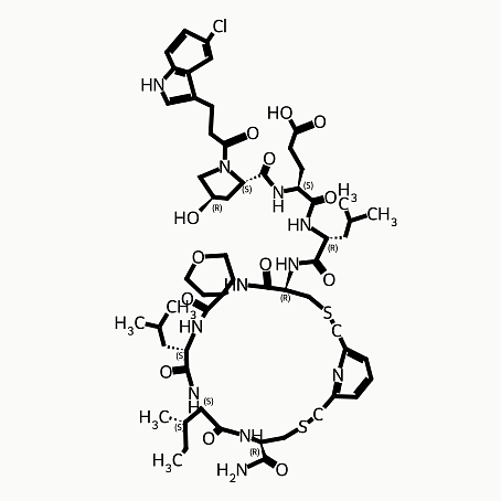 CC[C@H](C)[C@@H]1NC(=O)[C@H](CC(C)C)NC(=O)C2(CCOCC2)NC(=O)[C@@H](NC(=O)[C@@H](CC(C)C)NC(=O)[C@H](CCC(=O)O)NC(=O)[C@@H]2C[C@@H](O)CN2C(=O)CCc2c[nH]c3ccc(Cl)cc23)CSCc2cccc(n2)CSC[C@@H](C(N)=O)NC1=O